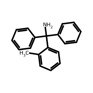 Cc1ccccc1C(N)(c1ccccc1)c1ccccc1